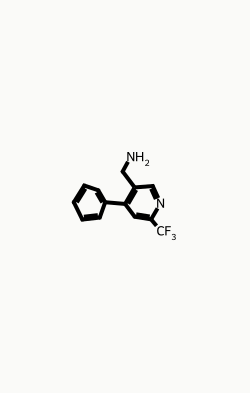 NCc1cnc(C(F)(F)F)cc1-c1ccccc1